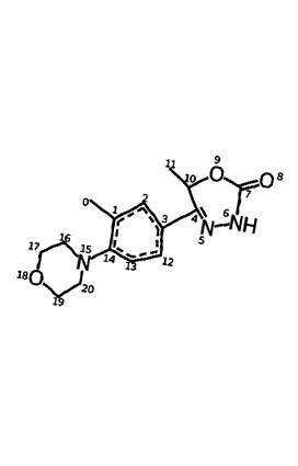 Cc1cc(C2=NNC(=O)OC2C)ccc1N1CCOCC1